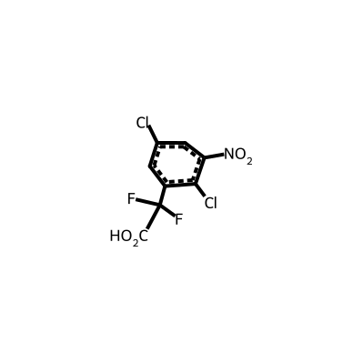 O=C(O)C(F)(F)c1cc(Cl)cc([N+](=O)[O-])c1Cl